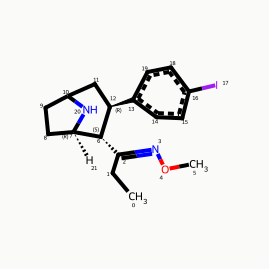 CCC(=NOC)[C@@H]1[C@H]2CCC(C[C@H]1c1ccc(I)cc1)N2